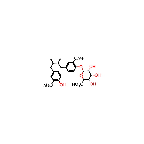 COc1cc(CC(C)C(C)Cc2ccc(O[C@@H]3O[C@H](C(=O)O)[C@@H](O)[C@H](O)[C@H]3O)c(OC)c2)ccc1O